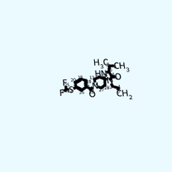 C=CCN1C(=O)C(C(C)C)NC12CCN(C(=O)c1cccc(SC(F)F)c1)CC2